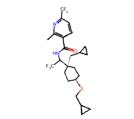 Cc1nc(C(F)(F)F)ccc1C(=O)NC(C(F)(F)F)[C@]1(CC2CC2)CC[C@H](SCC2CC2)CC1